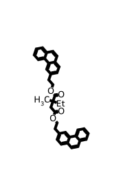 CCC(C)(CC(=O)OCCc1ccc2ccc3ccccc3c2c1)C(=O)OCCc1ccc2ccc3ccccc3c2c1